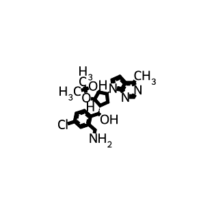 Cc1ncnc2c1ccn2[C@@H]1C[C@H](C(O)c2ccc(Cl)cc2CN)[C@H]2OC(C)(C)O[C@H]21